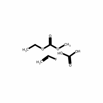 C=CF.CCOC(=O)OC.O=C(O)O